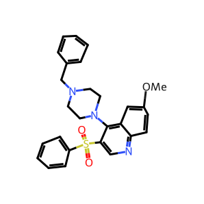 COc1ccc2ncc(S(=O)(=O)c3ccccc3)c(N3CCN(Cc4ccccc4)CC3)c2c1